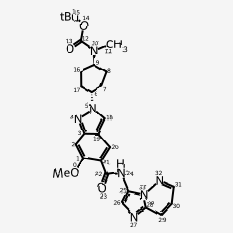 COc1cc2nn([C@H]3CC[C@H](N(C)C(=O)OC(C)(C)C)CC3)cc2cc1C(=O)Nc1cnc2cccnn12